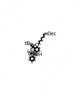 CCCCCCCCCCCCCCCCOc1ccc(O)c(NS(=O)(=O)c2ccccc2)c1C(C)(C)CC(C)(C)C